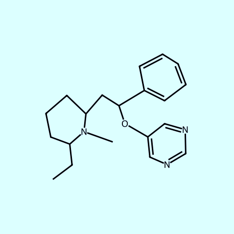 CCC1CCCC(CC(Oc2cncnc2)c2ccccc2)N1C